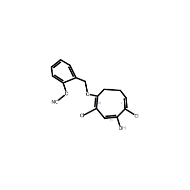 N#COc1ccccc1CO/C1=C(Cl)/C=C(O)\C(Cl)=C/CC1